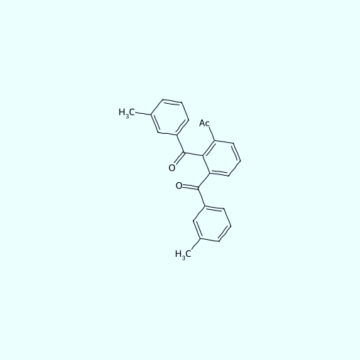 CC(=O)c1cccc(C(=O)c2cccc(C)c2)c1C(=O)c1cccc(C)c1